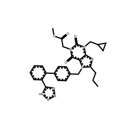 CCCc1nc2c(c(=O)n(CC(=O)OC)c(=O)n2CC2CC2)n1Cc1ccc(-c2ccccc2-c2nnn[nH]2)cc1